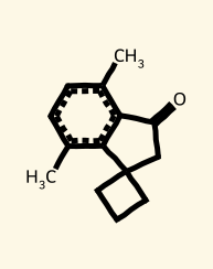 Cc1ccc(C)c2c1C(=O)CC21CCC1